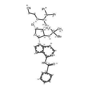 CC[C@H]1O[C@@H](n2cnc3c(NC(=O)c4ccccc4)ncnc32)C(O[Si](C)(C)C(C)(C)C)[C@H]1OP(OCCC#N)N(C(C)C)C(C)C